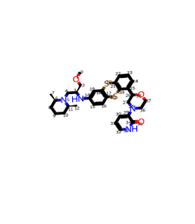 COC[C@H](CN1[C@H](C)CCC[C@@H]1C)Nc1ccc2c(c1)Sc1cccc(C3CN(c4ccc[nH]c4=O)CCO3)c1S2